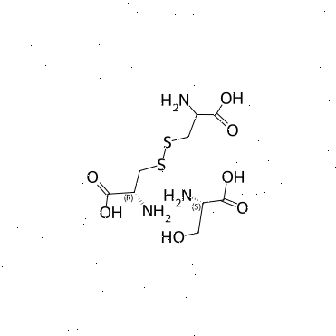 NC(CSSC[C@H](N)C(=O)O)C(=O)O.N[C@@H](CO)C(=O)O